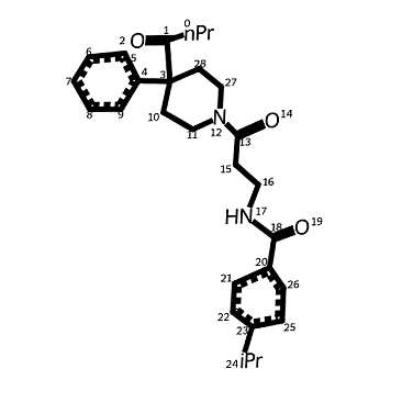 CCCC(=O)C1(c2ccccc2)CCN(C(=O)CCNC(=O)c2ccc(C(C)C)cc2)CC1